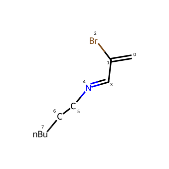 C=C(Br)C=NCCCCCC